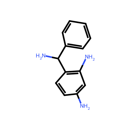 Nc1ccc(C(N)c2ccccc2)c(N)c1